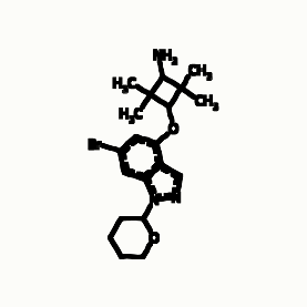 CC1(C)C(N)C(C)(C)C1Oc1cc(Br)cc2c1cnn2C1CCCCO1